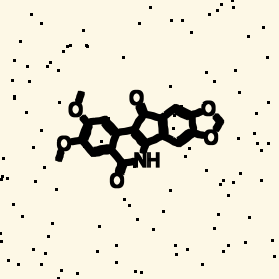 COc1cc2c3c([nH]c(=O)c2cc1OC)-c1cc2c(cc1C3=O)OCO2